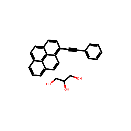 C(#Cc1ccc2ccc3cccc4ccc1c2c34)c1ccccc1.OCC(O)CO